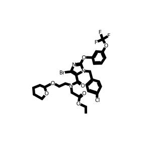 CCOC(=O)CN(CCOC1CCCCO1)C(=O)c1c(Br)nc(Oc2cccc(OC(F)(F)F)c2)n1Cc1ccc(Cl)cc1